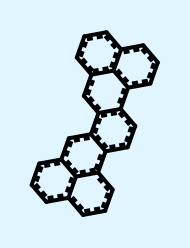 c1cc2cccc3c4ccc5c(cc6cccc7cccc5c76)c4cc(c1)c23